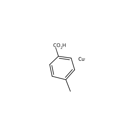 Cc1ccc(C(=O)O)cc1.[Cu]